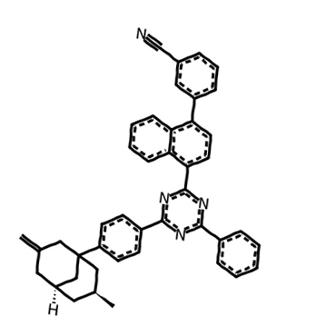 C=C1C[C@@H]2C[C@H](C)CC(c3ccc(-c4nc(-c5ccccc5)nc(-c5ccc(-c6cccc(C#N)c6)c6ccccc56)n4)cc3)(C1)C2